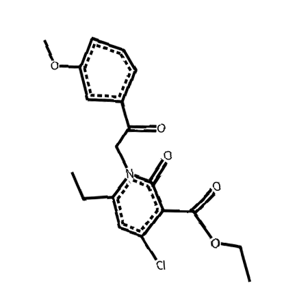 CCOC(=O)c1c(Cl)cc(CC)n(CC(=O)c2cccc(OC)c2)c1=O